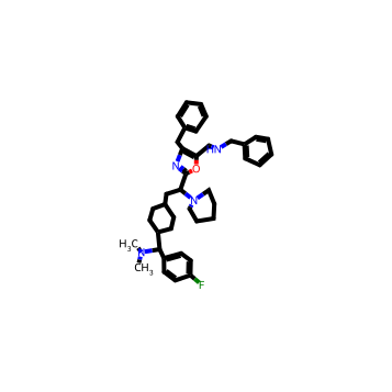 CN(C)C(c1ccc(F)cc1)C1CCC(CC(c2nc(Cc3ccccc3)c(CNCc3ccccc3)o2)N2CCCCC2)CC1